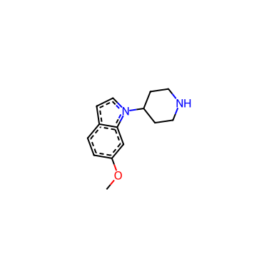 COc1ccc2ccn(C3CCNCC3)c2c1